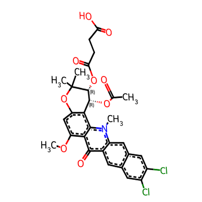 COc1cc2c(c3c1c(=O)c1cc4cc(Cl)c(Cl)cc4cc1n3C)[C@@H](OC(C)=O)[C@@H](OC(=O)CCC(=O)O)C(C)(C)O2